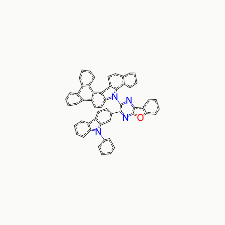 c1ccc(-n2c3ccccc3c3ccc(-c4nc5oc6ccccc6c5nc4-n4c5ccc6c7ccccc7c7ccccc7c6c5c5ccc6ccccc6c54)cc32)cc1